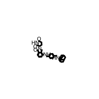 O=C1CCC(N2Cc3c(NCc4ccc(CNC56CC7CC(CC(C7)C5)C6)cc4)cccc3C2=O)C(=O)N1